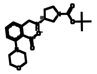 CC(C)(C)OC(=O)N1CC[C@@H](NCc2cccc(N3CCOCC3)c2[N+](=O)[O-])C1